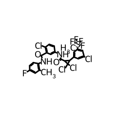 Cc1cc(F)ccc1NC(=O)c1cc(NC(=O)C2C(c3cc(Cl)cc(S(C)(F)(F)(F)F)c3)C2(Cl)Cl)ccc1Cl